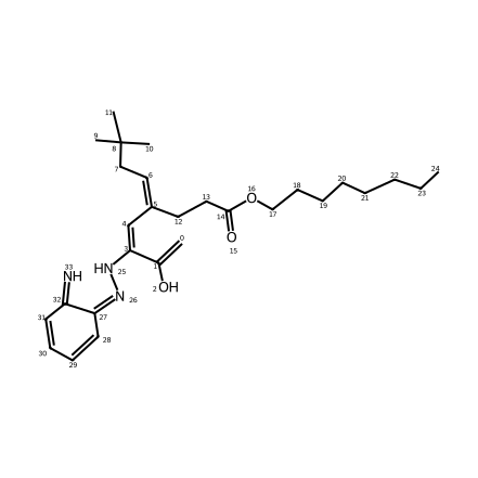 C=C(O)/C(=C\C(=C/CC(C)(C)C)CCC(=O)OCCCCCCCC)N/N=C1/C=CC=CC1=N